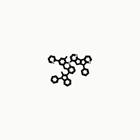 CC1=C(c2cccc3c2Cc2cc(-c4ccccn4)cc(C)c2B3c2ccnc3c2CC2=C3c3cccnc3C2c2ccccc2)c2ccccc2C1c1ccccc1